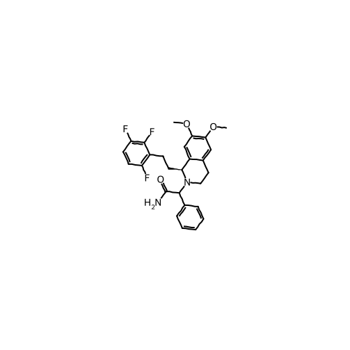 COc1cc2c(cc1OC)[C@H](CCc1c(F)ccc(F)c1F)N(C(C(N)=O)c1ccccc1)CC2